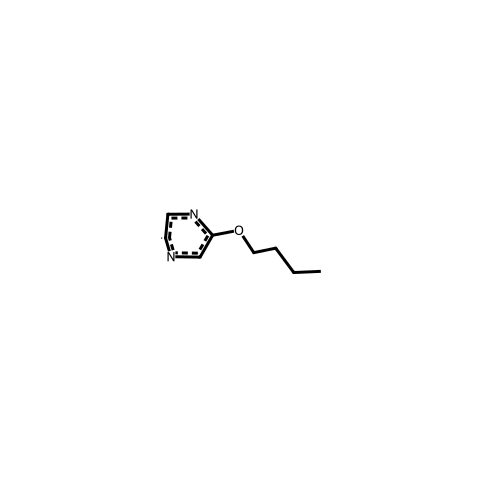 CCCCOc1cn[c]cn1